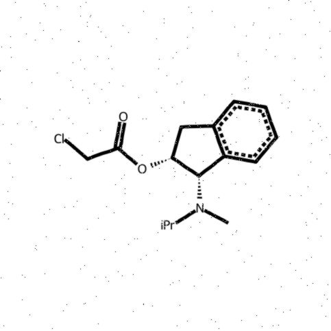 CC(C)N(C)[C@H]1c2ccccc2C[C@H]1OC(=O)CCl